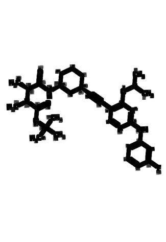 CC(C)Oc1nc(Nc2cccc(F)c2)ncc1C#C[C@@H]1CCC[C@H](NC(=O)[C@H](C)N(C)C(=O)OC(C)(C)C)C1